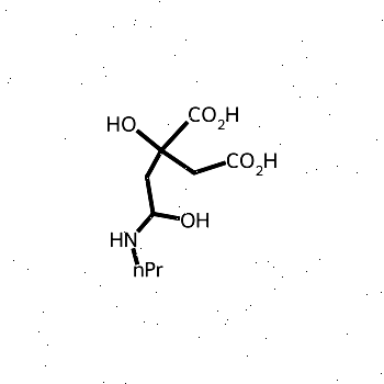 CCCNC(O)CC(O)(CC(=O)O)C(=O)O